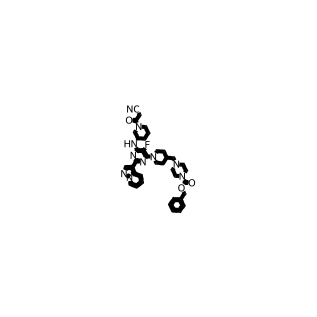 N#CCC(=O)N1CCC[C@@H](Nc2nc(-c3cnn4ccccc34)nc(N3CCC(CN4CCN(C(=O)OCc5ccccc5)CC4)CC3)c2F)C1